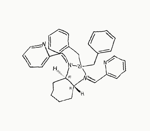 C(c1ccccn1)=[N+]1[C@@H]2CCCC[C@H]2[N+](=Cc2ccccn2)[Zr]1([CH2]c1ccccc1)[CH2]c1ccccc1